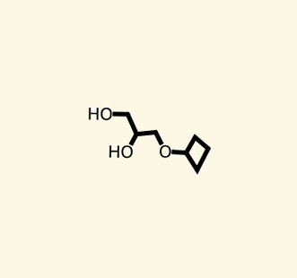 OCC(O)COC1CCC1